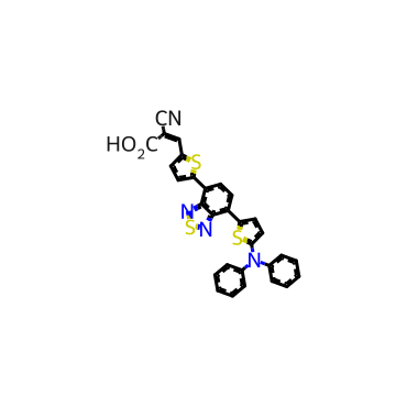 N#C/C(=C/c1ccc(-c2ccc(-c3ccc(N(c4ccccc4)c4ccccc4)s3)c3nsnc23)s1)C(=O)O